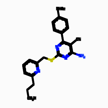 CC(=O)Nc1ccc(-c2nc(SCc3cccc(CCC(=O)O)n3)nc(N)c2C#N)cc1